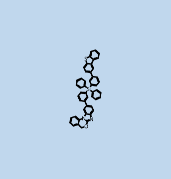 c1ccc([Si](c2ccccc2)(c2cccc(-c3ccc4sc5ccccc5c4c3)c2)c2cccc(-c3ccc4nc5n(c4c3)-c3ccccc3CO5)c2)cc1